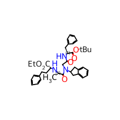 CCOC(=O)C(CCc1ccccc1)N[C@@H](C)C(=O)N(CC(=O)N[C@@H](Cc1ccccc1)C(=O)OC(C)(C)C)C1Cc2ccccc2C1